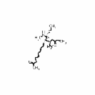 CCSC[C@H](NC)[C@@H](CCCCCCCCC(C)=O)N(CC)CC(=O)CC